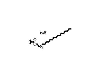 Br.C=C(C)C(=O)OCCN(C)CCCCCCCCCCCCCCCC